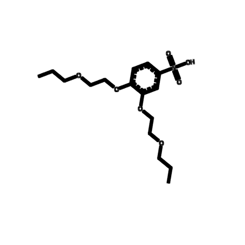 CCCOCCOc1ccc(S(=O)(=O)O)cc1OCCOCCC